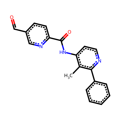 Cc1c(NC(=O)c2ccc(C=O)cn2)ccnc1-c1ccccc1